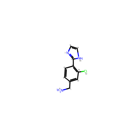 NCc1ccc(-c2n[c]c[nH]2)c(Cl)c1